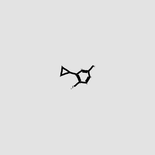 [CH2]c1ccc(F)c(C2CC2)c1